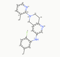 Cc1ccc(F)c(Nc2cnc3c(c2)CN(c2ncccc2C)CC3)c1